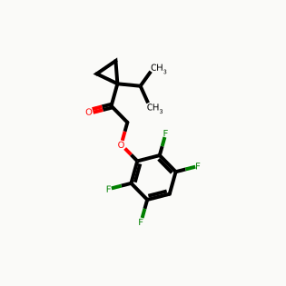 CC(C)C1(C(=O)COc2c(F)c(F)cc(F)c2F)CC1